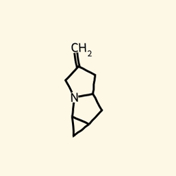 C=C1CC2CC3CC3N2C1